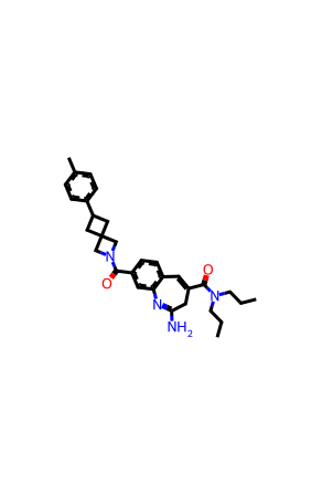 CCCN(CCC)C(=O)C1=Cc2ccc(C(=O)N3CC4(CC(c5ccc(C)cc5)C4)C3)cc2N=C(N)C1